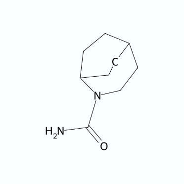 NC(=O)N1CCC2CCC1CC2